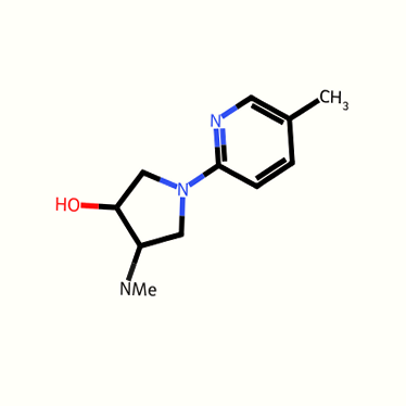 CNC1CN(c2ccc(C)cn2)CC1O